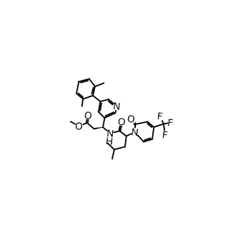 COC(=O)C[C@H](NC(=O)C(CC(C)C)n1ccc(C(F)(F)F)cc1=O)c1cncc(-c2c(C)cccc2C)c1